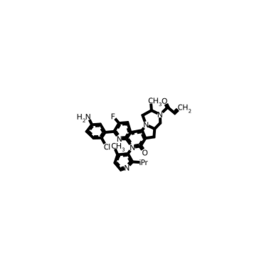 C=CC(=O)N1CC2Cc3c(c4cc(F)c(-c5cc(N)ccc5Cl)nc4n(-c4c(C)ccnc4C(C)C)c3=O)N2CC1C